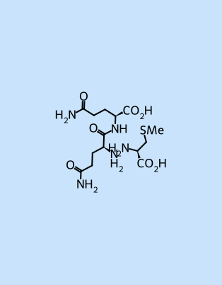 CSC[C@H](N)C(=O)O.NC(=O)CC[C@H](NC(=O)[C@@H](N)CCC(N)=O)C(=O)O